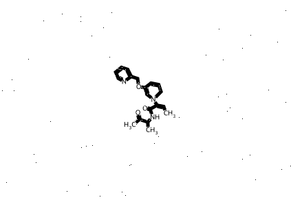 C/C=C(\C(=O)NC(C)C(C)=O)N1C=C(OCc2ccccn2)C=CC1